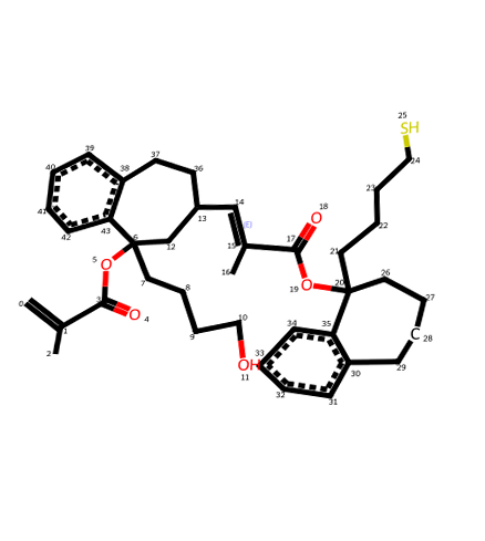 C=C(C)C(=O)OC1(CCCCO)CC(/C=C(\C)C(=O)OC2(CCCCS)CCCCc3ccccc32)CCc2ccccc21